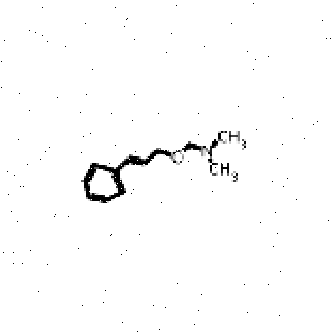 CN(C)COCC=Cc1ccccc1